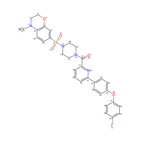 CN1CCOc2cc(S(=O)(=O)N3CCN(C(=O)c4cccc(-c5ccc(Oc6ccc(F)cc6)cc5)n4)CC3)ccc21